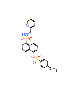 Cc1ccc(S(=O)(=O)Oc2cccc3c(S(=O)(=O)NCc4ccccn4)cccc23)cc1